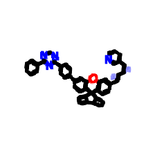 C(=C/c1cccnc1)/C=C/c1ccc2c(c1)Oc1cc(-c3ccc(-c4ncnc(-c5ccccc5)n4)cc3)ccc1C21c2ccccc2-c2ccccc21